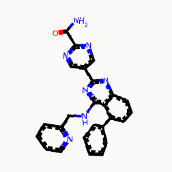 NC(=O)c1ncc(-c2nc(NCc3ccccn3)c3c(-c4ccccc4)cccc3n2)cn1